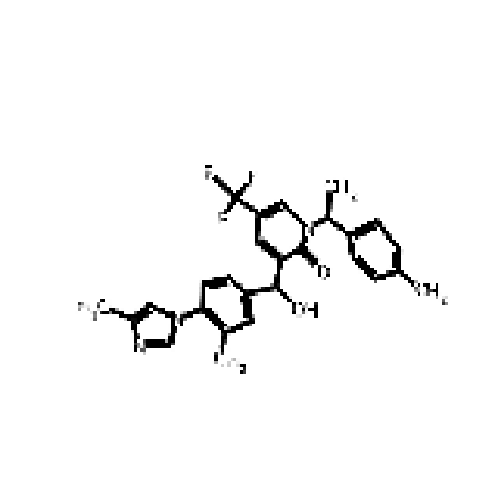 Cc1ccc(C(C)n2cc(C(F)(F)F)cc(C(O)c3ccc(-n4cnc(C)c4)c(C)c3)c2=O)cc1